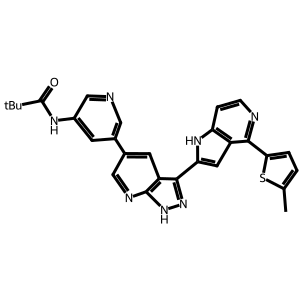 Cc1ccc(-c2nccc3[nH]c(-c4n[nH]c5ncc(-c6cncc(NC(=O)C(C)(C)C)c6)cc45)cc23)s1